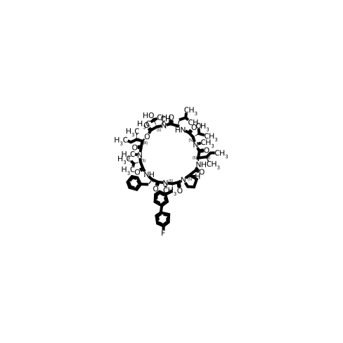 CC[C@H](C)[C@@H]1NC(=O)[C@@H]2CCCN2C(=O)[C@H](Cc2cccc(-c3ccc(F)cc3)c2)N(C)C(=O)[C@H](Cc2ccccc2)NC(=O)[C@H](C(C)C)N(C)C(=O)[C@@H]([C@@H](C)CC)OC(=O)[C@H](C(C)(C)O)N(C)C(=O)[C@H](CC(C)C)NC(=O)[C@H](C(C)C)N(C)C1=O